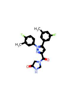 Cc1cc(F)cc(-c2cc(C(=O)N3CNC(=O)C3)nn2-c2ccc(F)c(C)c2)c1